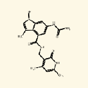 Cc1cc(C)c(CNC(=O)c2cc(NC(N)=O)cc3c2c(C)cn3C(C)C)c(=O)[nH]1